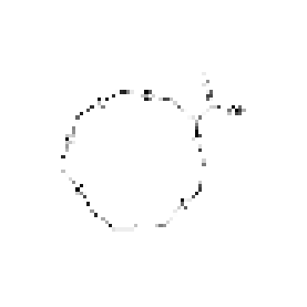 O=C(O)C1CCCCCCCCCCCCCCCC1